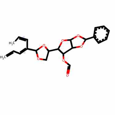 C=C/C=C(\C=C/C)C1OCC(C2OC3OC(c4ccccc4)OC3C2OC=O)O1